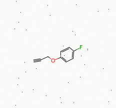 C#CCOc1ccc(F)cc1